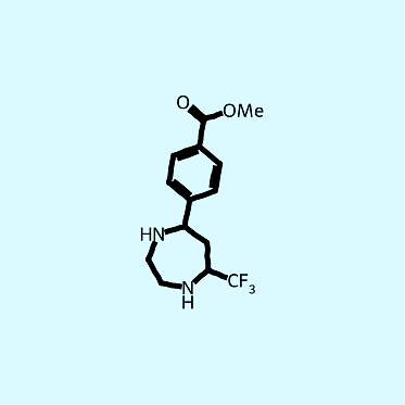 COC(=O)c1ccc(C2CC(C(F)(F)F)NCCN2)cc1